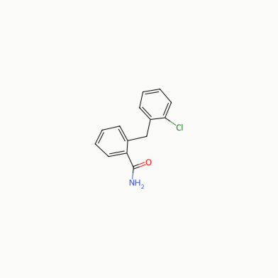 NC(=O)c1ccccc1Cc1ccccc1Cl